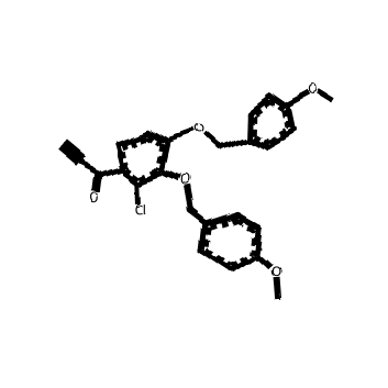 C#CC(=O)c1ccc(OCc2ccc(OC)cc2)c(OCc2ccc(OC)cc2)c1Cl